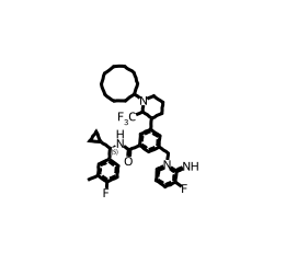 Cc1cc([C@@H](NC(=O)c2cc(Cn3cccc(F)c3=N)cc(C3CCCN(C4CCCCCCCCC4)C3C(F)(F)F)c2)C2CC2)ccc1F